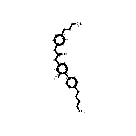 CCCCCc1ccc(-c2ccc(CC(=O)Cc3ccc(CCCC)cc3)cc2C)cc1